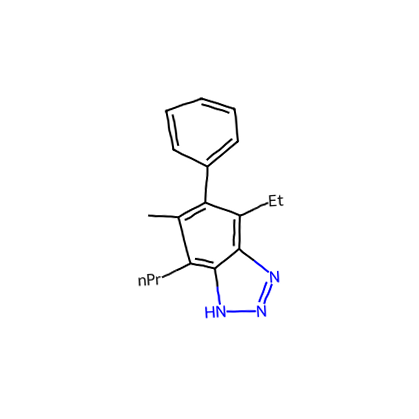 CCCc1c(C)c(-c2ccccc2)c(CC)c2nn[nH]c12